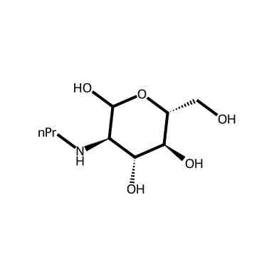 CCCN[C@H]1C(O)O[C@H](CO)[C@@H](O)[C@@H]1O